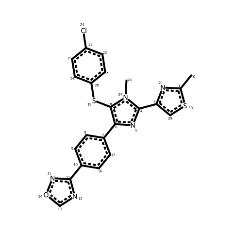 Cc1nc(-c2nc(-c3ccc(-c4ncon4)cc3)c(Sc3ccc(Cl)cc3)n2C)cs1